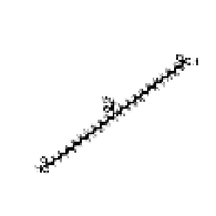 O=C(O)CCCCCCCC=CCCCCCCCCCCN(CCCCCCCCCCC=CCCCCCCCC(=O)O)C(=O)CBr